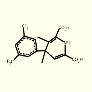 CC1=C(C(=O)O)NC(C(=O)O)=CC1(C)c1cc(C(F)(F)F)cc(C(F)(F)F)c1